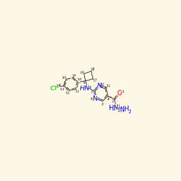 NNC(=O)c1cnc(NC2(c3ccc(Cl)cc3)CCC2)nc1